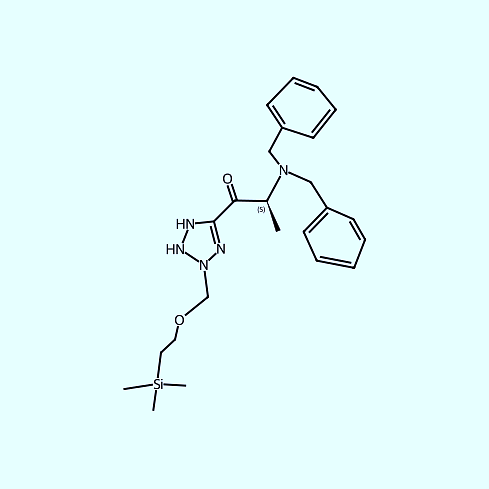 C[C@@H](C(=O)C1=NN(COCC[Si](C)(C)C)NN1)N(Cc1ccccc1)Cc1ccccc1